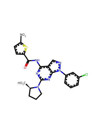 O=C(Nc1nc(N2CCC[C@H]2C(=O)O)nc2c1cnn2-c1cccc(Cl)c1)c1ccc([N+](=O)[O-])s1